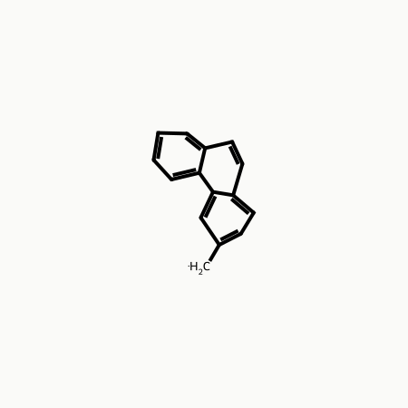 [CH2]c1ccc2ccc3ccccc3c2c1